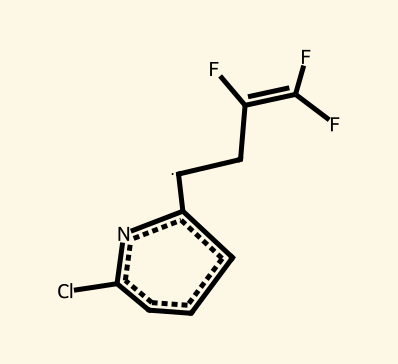 FC(F)=C(F)C[CH]c1cccc(Cl)n1